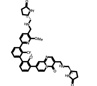 COc1nc(-c2cccc(-c3cccc(-c4ccn5c(=O)c(CNC[C@H]6CCC(=O)N6)cnc5c4)c3Cl)c2C(F)(F)F)ccc1CNC[C@@H]1CCC(=O)N1